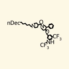 CCCCCCCCCCCCCCCCN1CCC(C(=O)N2CCC(OCc3cc(NCC(F)(F)F)cc(C(F)(F)F)c3)C(c3ccccc3)C2)CC1